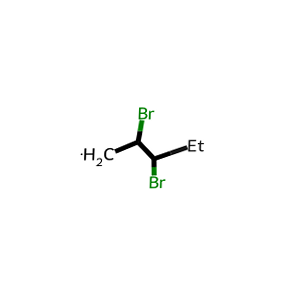 [CH2]C(Br)C(Br)CC